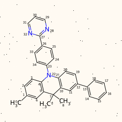 Cc1ccc2c(c1)C(C)(C)c1cc(-c3ccccc3)ccc1N2c1ccc(-c2ncccn2)cc1